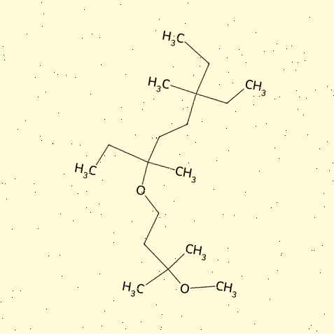 CCC(C)(CC)CCC(C)(CC)OCCC(C)(C)OC